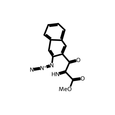 COC(=O)C(=N)C(=O)c1cc2ccccc2cc1N=[N+]=[N-]